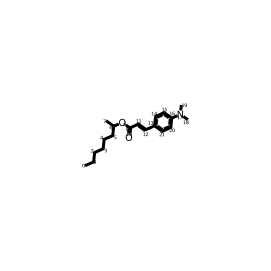 CCCCCCC(C)OC(=O)C=Cc1ccc(N(C)C)cc1